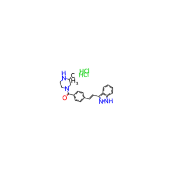 C[C@H]1CN(C(=O)c2ccc(C=Cc3n[nH]c4ccccc34)cc2)CCN1.Cl.Cl